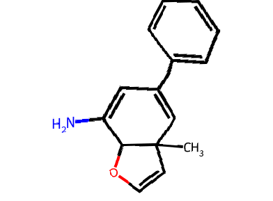 CC12C=COC1C(N)=CC(c1ccccc1)=C2